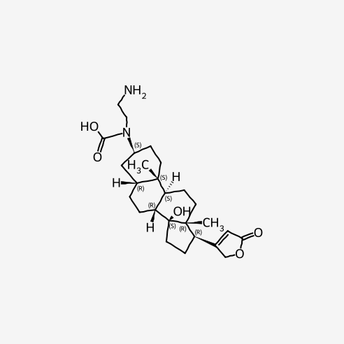 C[C@]12CC[C@H](N(CCN)C(=O)O)C[C@H]1CC[C@@H]1[C@@H]2CC[C@]2(C)[C@@H](C3=CC(=O)OC3)CC[C@]12O